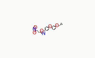 CON(C)C(=O)CCc1cnc(-c2ccc(Oc3cccc(OCC4CC4)c3)cc2)o1